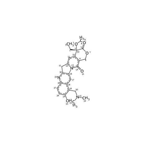 CC[C@@]1(OC)C(=O)OCc2c1cc1n(c2=O)-c2cc3c(CN(C)C)c(O)ccc3nc2C1